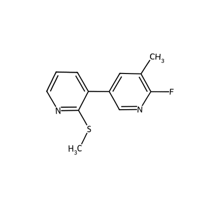 CSc1ncccc1-c1cnc(F)c(C)c1